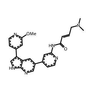 COc1cc(-c2c[nH]c3ncc(-c4ccnc(NC(=O)C=CCN(C)C)c4)cc23)ccn1